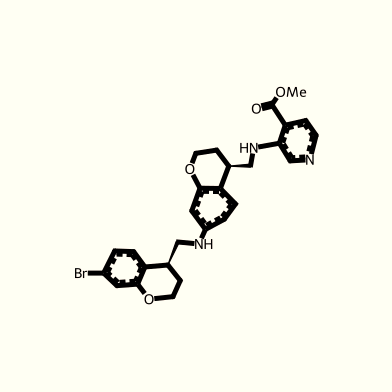 COC(=O)c1ccncc1NC[C@@H]1CCOc2cc(NC[C@H]3CCOc4cc(Br)ccc43)ccc21